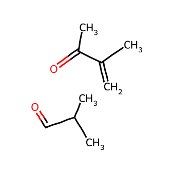 C=C(C)C(C)=O.CC(C)C=O